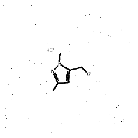 Cc1cc(CCl)n(C)n1.Cl